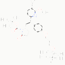 COc1nc(/C(=C/[C@H]2CCC(=O)N2C(=O)OC(C)(C)C)c2ccc(OCCCO[Si](C)(C)C(C)(C)C)cc2)ccc1C1CC1